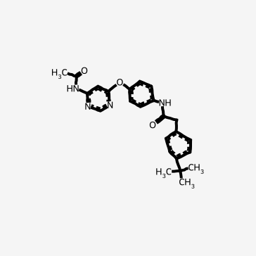 CC(=O)Nc1cc(Oc2ccc(NC(=O)Cc3ccc(C(C)(C)C)cc3)cc2)ncn1